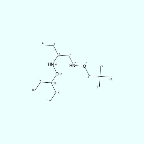 CC[C](CNOCC(C)(C)C)NOC(CC)CC